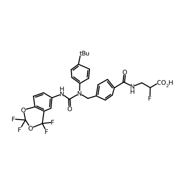 CC(C)(C)c1ccc(N(Cc2ccc(C(=O)NCC(F)C(=O)O)cc2)C(=O)Nc2ccc3c(c2)C(F)(F)OC(F)(F)O3)cc1